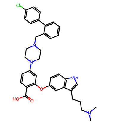 CN(C)CCCc1c[nH]c2ccc(Oc3cc(N4CCN(Cc5ccccc5-c5ccc(Cl)cc5)CC4)ccc3C(=O)O)cc12